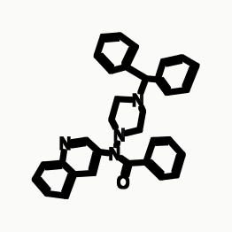 O=C(c1ccccc1)N(c1cnc2ccccc2c1)N1CCN(C(c2ccccc2)c2ccccc2)CC1